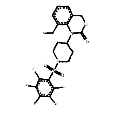 O=C1OCc2cccc(CF)c2N1C1CCN(S(=O)(=O)c2c(F)c(F)c(F)c(F)c2F)CC1